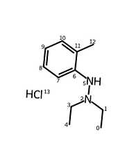 CCN(CC)Nc1ccccc1C.Cl